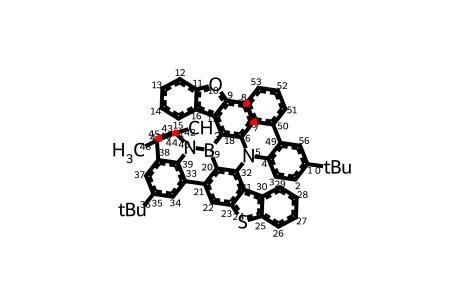 CC(C)(C)c1ccc(N2c3ccc4oc5ccccc5c4c3B3c4c(cc5sc6ccccc6c5c42)-c2cc(C(C)(C)C)cc4c2N3C2(C)CCCCC42C)c(-c2ccccc2)c1